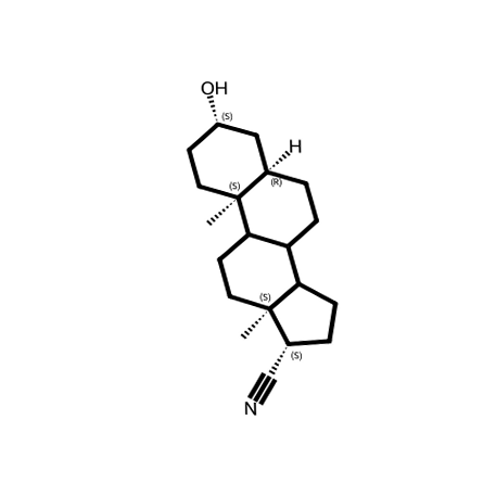 C[C@]12CCC3C(CC[C@@H]4C[C@@H](O)CC[C@]34C)C1CC[C@@H]2C#N